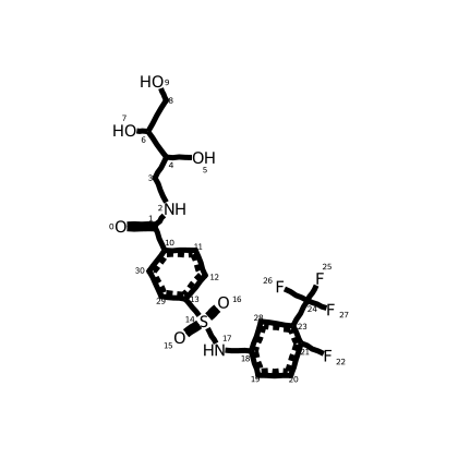 O=C(NCC(O)C(O)CO)c1ccc(S(=O)(=O)Nc2ccc(F)c(C(F)(F)F)c2)cc1